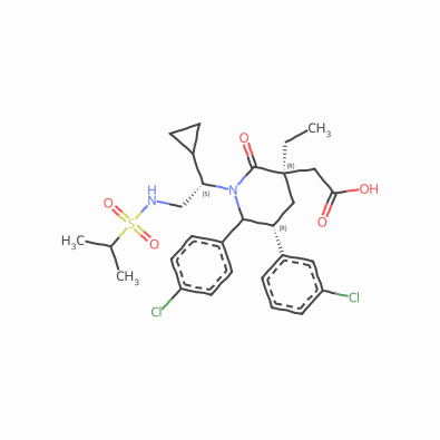 CC[C@]1(CC(=O)O)C[C@H](c2cccc(Cl)c2)C(c2ccc(Cl)cc2)N([C@H](CNS(=O)(=O)C(C)C)C2CC2)C1=O